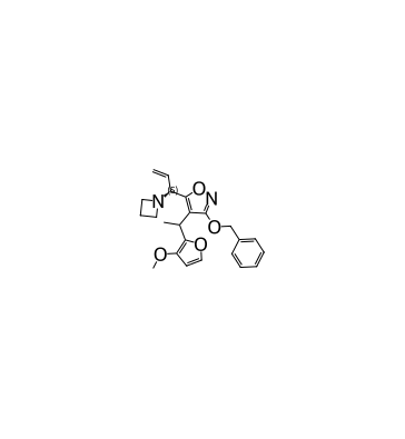 C=C[C@@H](c1onc(OCc2ccccc2)c1C(C)c1occc1OC)N1CCC1